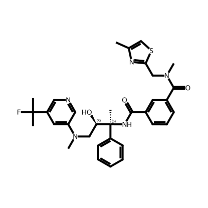 Cc1csc(CN(C)C(=O)c2cccc(C(=O)N[C@@](C)(c3ccccc3)[C@H](O)CN(C)c3cncc(C(C)(C)F)c3)c2)n1